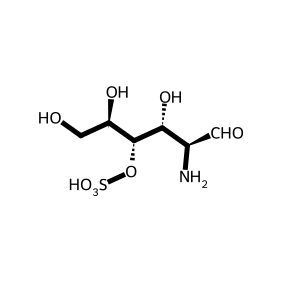 N[C@H](C=O)[C@@H](O)[C@H](OS(=O)(=O)O)[C@H](O)CO